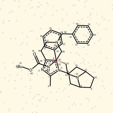 Cc1nc2c(n1C1CC3CCC(C1)N3CC[C@H](NC(=O)OC(C)(C)C)c1ccccc1)CN(Cc1ccccc1)CC2